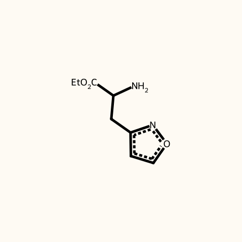 CCOC(=O)C(N)Cc1ccon1